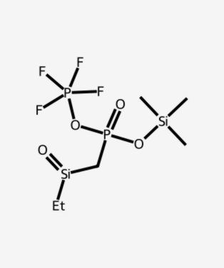 CC[Si](=O)CP(=O)(O[Si](C)(C)C)OP(F)(F)(F)F